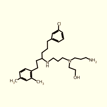 Cc1ccc(CCC(CCCc2cccc(Cl)c2)NCCCN(CCO)CCCN)c(C)c1